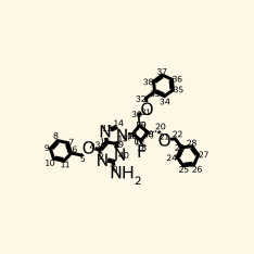 Nc1nc(OCc2ccccc2)c2ncn([C@H]3[C@H](F)[C@@H](COCc4ccccc4)[C@@H]3COCc3ccccc3)c2n1